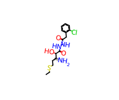 CCSCC[C@@H](N)C(O)C(=O)NNC(=O)Cc1ccccc1Cl